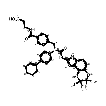 O=C(O)CCNC(=O)c1ccc(CN(C(=O)Nc2nc3ccc4c(c3s2)OC(F)(F)C(F)(F)O4)c2ccc(C3=CCCCC3)cc2)cc1